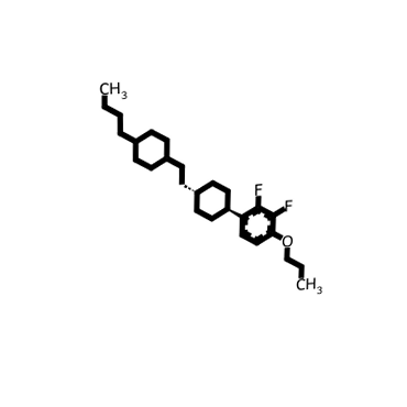 CCCCC1CCC(CC[C@H]2CC[C@H](c3ccc(OCCC)c(F)c3F)CC2)CC1